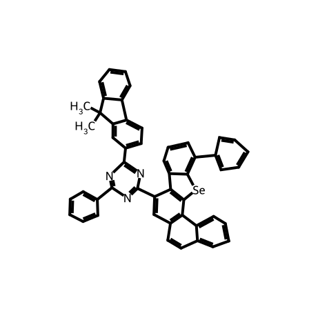 CC1(C)c2ccccc2-c2ccc(-c3nc(-c4ccccc4)nc(-c4cc5ccc6ccccc6c5c5[se]c6c(-c7ccccc7)cccc6c45)n3)cc21